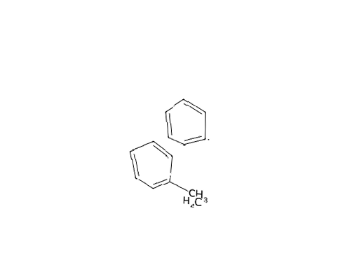 C.Cc1ccccc1.[c]1ccccc1